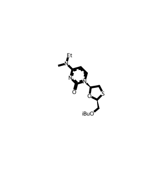 CCN(C)c1ccn([C@H]2CS[C@@H](COCC(C)C)O2)c(=O)n1